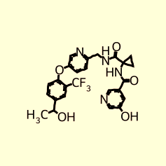 CC(O)c1ccc(Oc2ccc(CNC(=O)C3(NC(=O)c4cncc(O)c4)CC3)nc2)c(C(F)(F)F)c1